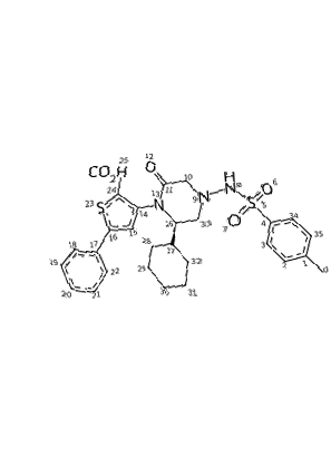 Cc1ccc(S(=O)(=O)NN2CC(=O)N(c3cc(-c4ccccc4)sc3C(=O)O)[C@H](C3CCCCC3)C2)cc1